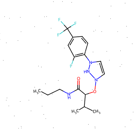 CCCNC(=O)C(ON1C=CN(c2ccc(C(F)(F)F)cc2F)N1)C(C)C